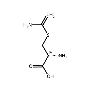 C=C(N)SC[C@H](N)C(=O)O